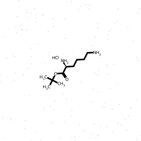 CC(C)(C)OC(=O)[C@@H](N)CCCCN.Cl